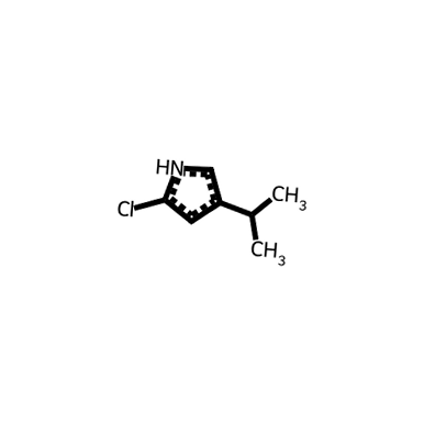 CC(C)c1c[nH]c(Cl)c1